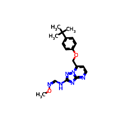 CO/N=C\Nc1nc2nccc(COc3ccc(C(C)(C)C)cc3)n2n1